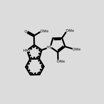 COC(=O)c1[nH]c2ccccc2c1[SH]1C=C(OC)C(OC)=C1OC